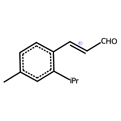 Cc1ccc(/C=C/C=O)c(C(C)C)c1